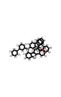 CC1(C)c2ccccc2-c2ccc(N(c3cccc(-c4ccccc4)c3)c3cccc4oc5c6ccccc6c(-c6ccccc6-c6ccccc6)cc5c34)cc21